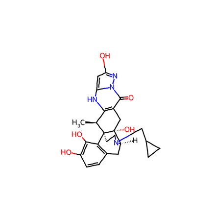 C[C@H]1c2[nH]c3cc(O)nn3c(=O)c2C[C@@]2(O)[C@H]3Cc4ccc(O)c(O)c4[C@@]12CCN3CC1CC1